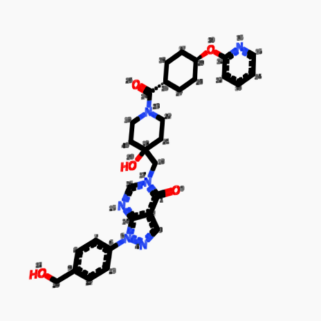 O=c1c2cnn(-c3ccc(CO)cc3)c2ncn1CC1(O)CCN(C(=O)[C@H]2CC[C@H](Oc3ccccn3)CC2)CC1